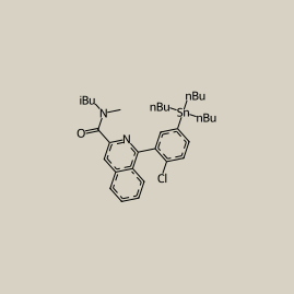 CCC[CH2][Sn]([CH2]CCC)([CH2]CCC)[c]1ccc(Cl)c(-c2nc(C(=O)N(C)C(C)CC)cc3ccccc23)c1